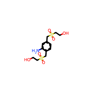 Nc1cc(CS(=O)(=O)CCO)ccc1CS(=O)(=O)CCO